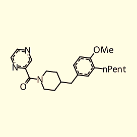 CCCCCc1cc(CC2CCN(C(=O)c3cnccn3)CC2)ccc1OC